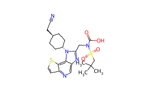 CC(C)(C)CS(=O)(=O)N(Cc1nc2cnc3ccsc3c2n1[C@H]1CC[C@H](CC#N)CC1)C(=O)O